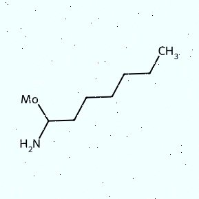 CCCCCC[CH](N)[Mo]